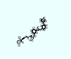 CCN(C/C=C/C#CC(C)(C)OC)Cc1cccc(SCc2cccc(-c3ccsc3)c2)c1